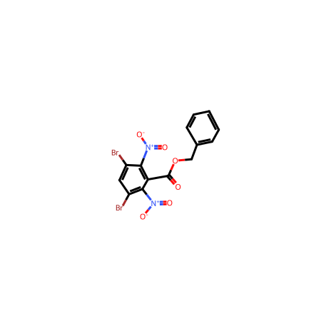 O=C(OCc1ccccc1)c1c([N+](=O)[O-])c(Br)cc(Br)c1[N+](=O)[O-]